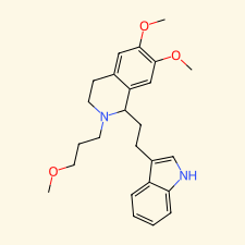 COCCCN1CCc2cc(OC)c(OC)cc2C1CCc1c[nH]c2ccccc12